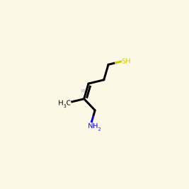 C/C(=C/CCS)CN